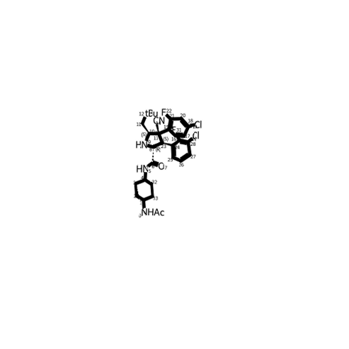 CC(=O)NC1CCC(NC(=O)[C@@H]2N[C@@H](CC(C)(C)C)[C@](C#N)(c3ccc(Cl)cc3F)[C@H]2c2cccc(Cl)c2F)CC1